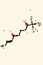 C/C=C/C(=O)CCCC(=O)C(C)(C)C